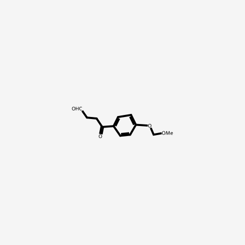 COCOc1ccc(C(=O)CCC=O)cc1